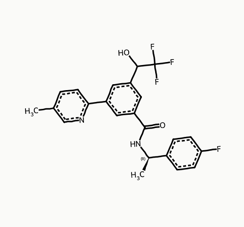 Cc1ccc(-c2cc(C(=O)N[C@H](C)c3ccc(F)cc3)cc(C(O)C(F)(F)F)c2)nc1